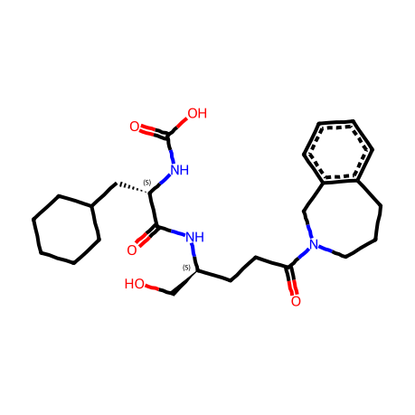 O=C(O)N[C@@H](CC1CCCCC1)C(=O)N[C@H](CO)CCC(=O)N1CCCc2ccccc2C1